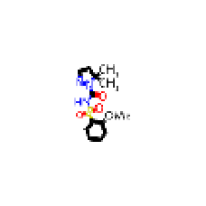 COc1ccccc1S(=O)(=O)NC(=O)N1N=CCC1(C)C